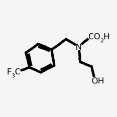 O=C(O)N(CCO)Cc1ccc(C(F)(F)F)cc1